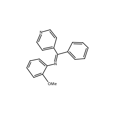 COc1ccccc1N=C(c1ccccc1)c1ccncc1